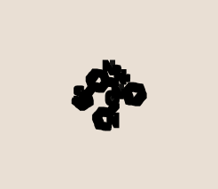 CN1CN=c2ccc(-c3cccs3)cc2=C1N(OCc1ccccn1)c1ccccc1